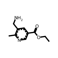 CCOC(=O)c1cnc(C)c(CN)c1